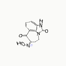 O=C1/C(=N\O)CCn2c(=O)[nH]c3cccc1c32